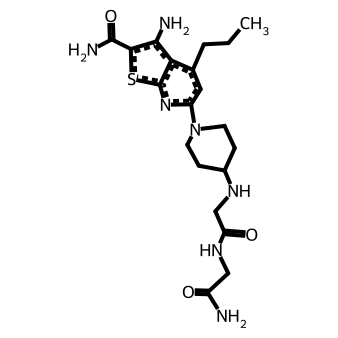 CCCc1cc(N2CCC(NCC(=O)NCC(N)=O)CC2)nc2sc(C(N)=O)c(N)c12